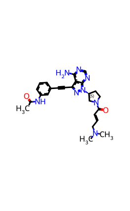 CC(=O)Nc1cccc(C#Cc2nn([C@H]3CCN(C(=O)C=CCN(C)C)C3)c3ncnc(N)c23)c1